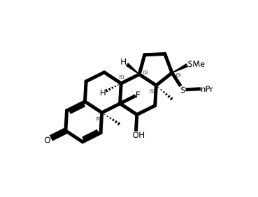 CCCS[C@@]1(SC)CC[C@H]2[C@@H]3CCC4=CC(=O)C=C[C@]4(C)C3(F)C(O)C[C@@]21C